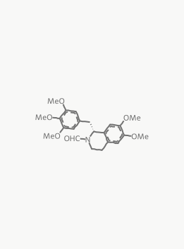 COc1cc2c(cc1OC)[C@@H](Cc1cc(OC)c(OC)c(OC)c1)N(C=O)CC2